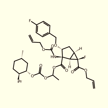 C=CCOC(=O)N[C@@]1(C(=O)OC(C)OC(=O)O[C@H]2C[C@@H](C)CC[C@@H]2C(C)C)[C@H](OCc2ccc(F)cc2)C[C@@H]2[C@H]1[C@@]2(F)C(=O)OCC=C